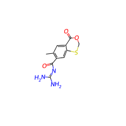 Cc1cc2c(cc1C(=O)N=C(N)N)SCOC2=O